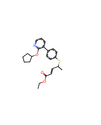 CCOC(=O)C=CC(C)Sc1ccc(-c2cccnc2OC2CCCC2)cc1